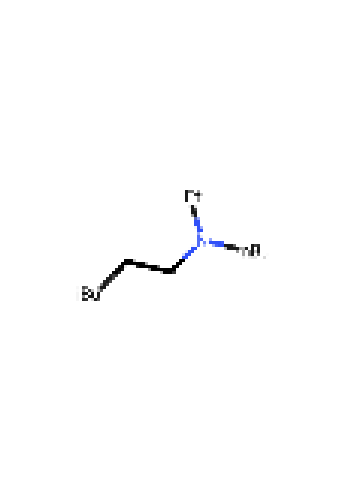 CCCCN(CC)CCC(C)CC